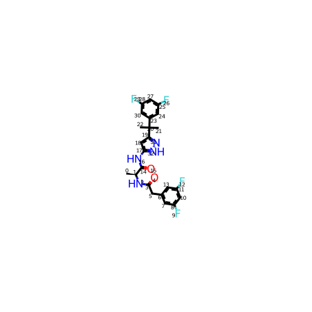 C[C@H](NC(=O)Cc1cc(F)cc(F)c1)C(=O)Nc1cc(C(C)(C)c2cc(F)cc(F)c2)n[nH]1